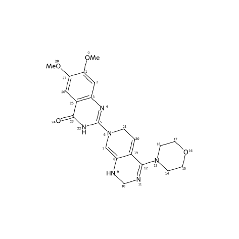 COc1cc2nc(N3C=C4NCN=C(N5CCOCC5)C4=CC3)[nH]c(=O)c2cc1OC